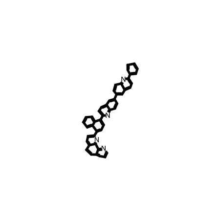 c1ccc(-c2ccc3cc(-c4ccc5nc(-c6ccc(-c7ccc8ccc9cccnc9c8n7)c7ccccc67)ccc5c4)ccc3n2)cc1